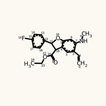 C=Cc1cc2c(cc1NC)OC(c1ccc(F)cc1)C2C(=O)OCC